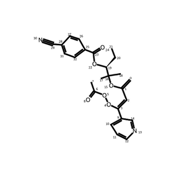 C=C(/C=C(\OOC(C)=O)c1cccnc1)OC(C)(C)[C@H](CC)OC(=O)c1ccc(C#N)cc1